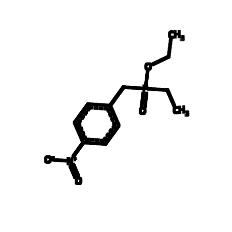 CCOP(=O)(CC)Cc1ccc([N+](=O)[O-])cc1